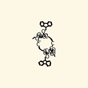 CCOC(=O)C1(NC(=O)OCC2c3ccccc3-c3ccccc32)CCCC=CCCCC(NC(=O)OCC2c3ccccc3-c3ccccc32)(C(=O)OCC)CCCC=CCCC1